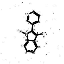 N#Cc1c(-c2cccnc2)n(F)c2ccccc12